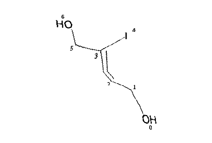 OCC=C(I)CO